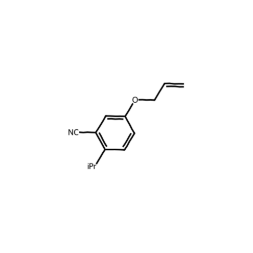 C=CCOc1ccc(C(C)C)c(C#N)c1